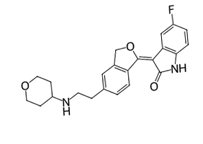 O=C1Nc2ccc(F)cc2/C1=C1\OCc2cc(CCNC3CCOCC3)ccc21